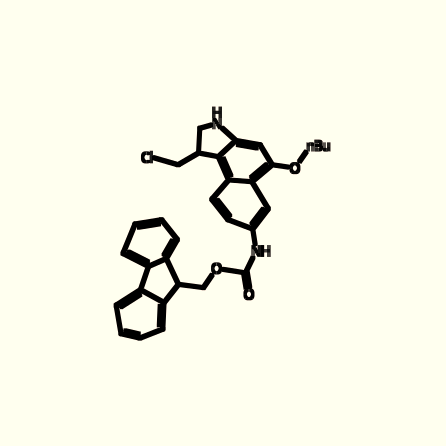 CCCCOc1cc2c(c3ccc(NC(=O)OCC4c5ccccc5-c5ccccc54)cc13)C(CCl)CN2